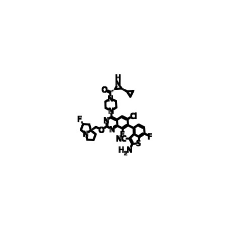 N#Cc1c(N)sc2c(F)ccc(-c3c(Cl)cc4c(N5CCN(C(=O)[C@@H]6N[C@H]6C6CC6)CC5)nc(OC[C@@]56CCCN5C[C@H](F)C6)nc4c3F)c12